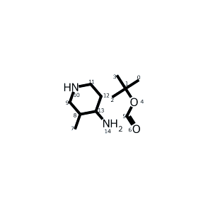 CC(C)(C)OC=O.CC1CNCCC1N